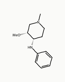 CO[C@@H]1CN(C)CC[C@@H]1Nc1ccccc1